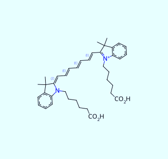 CC1(C)C(/C=C/C=C/C=C/C=C2\N(CCCCCC(=O)O)c3ccccc3C2(C)C)=[N+](CCCCCC(=O)O)c2ccccc21